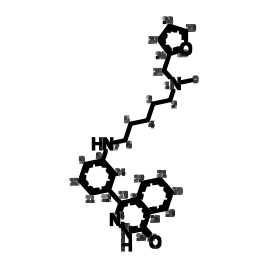 CN(CCCCCNc1cccc(-c2n[nH]c(=O)c3ccccc23)c1)Cc1ccco1